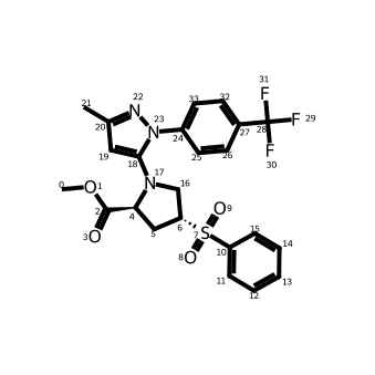 COC(=O)[C@@H]1C[C@@H](S(=O)(=O)c2ccccc2)CN1c1cc(C)nn1-c1ccc(C(F)(F)F)cc1